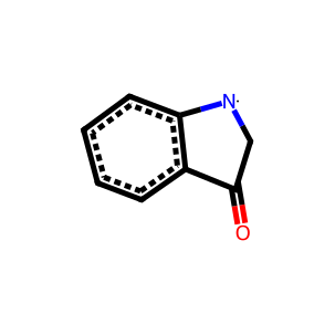 O=C1C[N]c2ccccc21